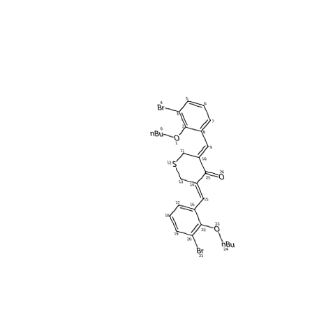 CCCCOc1c(Br)cccc1/C=C1\CSC/C(=C\c2cccc(Br)c2OCCCC)C1=O